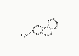 [SiH3]c1ccc2c(ccc3ccccc32)c1